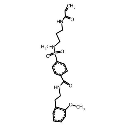 C=CC(=O)NCCCN(C)S(=O)(=O)c1ccc(C(=O)NCCc2ccccc2OC)cc1